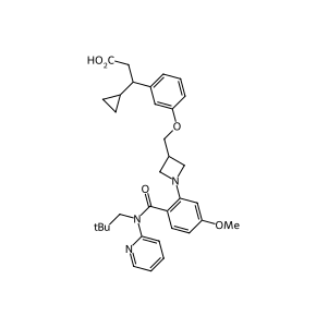 COc1ccc(C(=O)N(CC(C)(C)C)c2ccccn2)c(N2CC(COc3cccc(C(CC(=O)O)C4CC4)c3)C2)c1